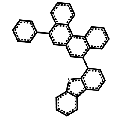 c1ccc(-c2cc3cc(-c4cccc5c4sc4ccccc45)c4ccccc4c3c3ccccc23)cc1